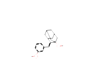 COc1cccc(C=C2C3CC4CC(C3)CC2(OC)C4)c1